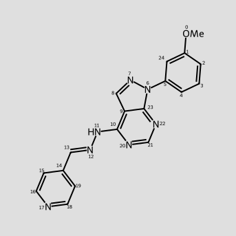 COc1cccc(-n2ncc3c(N/N=C/c4ccncc4)ncnc32)c1